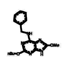 CCCCOc1nc(NCc2ccccc2)c2nc(OC)[nH]c2n1